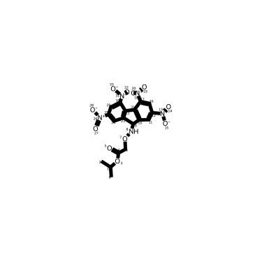 CC(C)OC(=O)CONC1c2cc([N+](=O)[O-])cc([N+](=O)[O-])c2-c2c1cc([N+](=O)[O-])cc2[N+](=O)[O-]